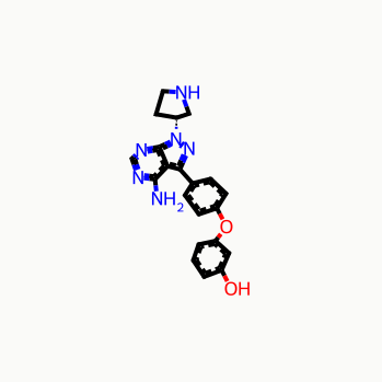 Nc1ncnc2c1c(-c1ccc(Oc3cccc(O)c3)cc1)nn2[C@@H]1CCNC1